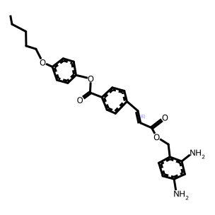 CCCCCOc1ccc(OC(=O)c2ccc(/C=C/C(=O)OCc3ccc(N)cc3N)cc2)cc1